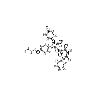 CCCCOc1ccc(C2C(O[C@]3(C)OC(c4ccccc4)C(C)N(C)C3=O)C(=O)N2c2ccc(F)cc2)cc1